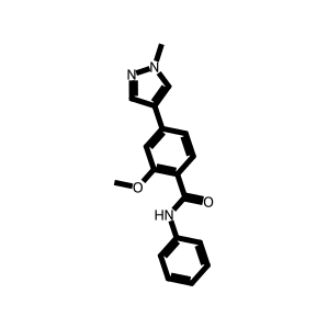 COc1cc(-c2cnn(C)c2)ccc1C(=O)Nc1ccccc1